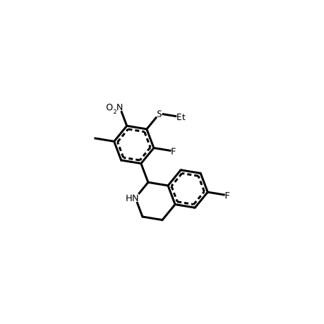 CCSc1c(F)c(C2NCCc3cc(F)ccc32)cc(C)c1[N+](=O)[O-]